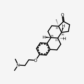 CN(C)CCOc1ccc2c(c1)CC[C@@H]1[C@H]3CCC(=O)[C@]3(C)CC[C@@H]21